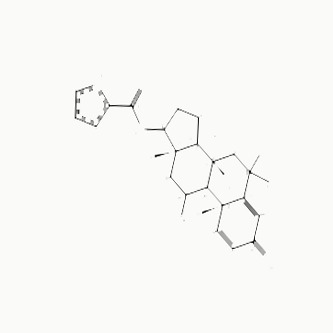 CC1(F)C[C@H]2[C@@H]3CCC(OC(=O)c4ccco4)[C@@]3(C)CC(O)[C@]2(F)[C@@]2(C)C=CC(=O)C=C12